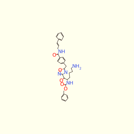 NCCCCC(NC(=O)OCc1ccccc1)C(=O)c1noc(Cc2ccc(C(=O)NCC=Cc3ccccc3)cc2)n1